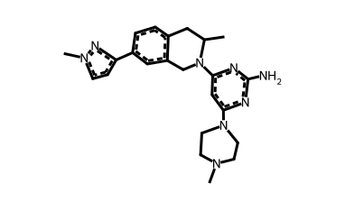 CC1Cc2ccc(-c3ccn(C)n3)cc2CN1c1cc(N2CCN(C)CC2)nc(N)n1